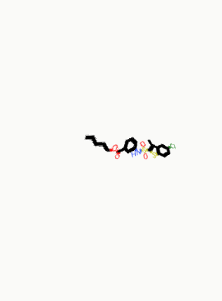 CCCCCOC(=O)c1cccc(NS(=O)(=O)c2sc3ccc(Cl)cc3c2C)c1